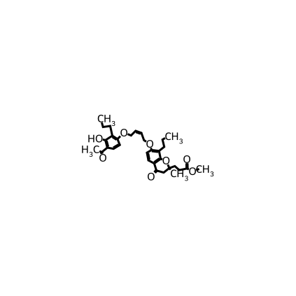 CCCc1c(OC/C=C\COc2ccc3c(c2CCC)OC(C)(CCC(=O)OC)CC3=O)ccc(C(C)=O)c1O